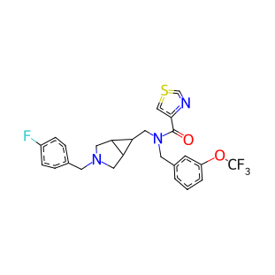 O=C(c1cscn1)N(Cc1cccc(OC(F)(F)F)c1)CC1C2CN(Cc3ccc(F)cc3)CC21